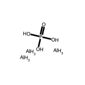 O=P(O)(O)O.[AlH3].[AlH3].[AlH3]